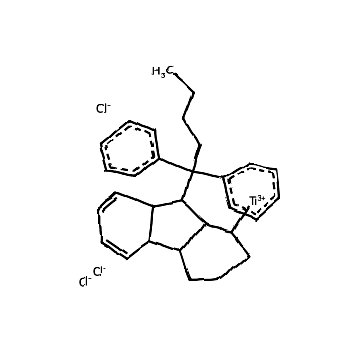 CCCCC(c1ccccc1)(c1ccccc1)C1C2C=CC=CC2C2CCC[CH]([Ti+3])C21.[Cl-].[Cl-].[Cl-]